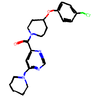 O=C(c1cc(N2CCCCC2)ncn1)N1CCC(Oc2ccc(Cl)cc2)CC1